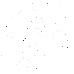 CC(C)(C)OC(=O)[C@H](Cc1ncc(Br)cn1)NC(=O)OCc1ccccc1